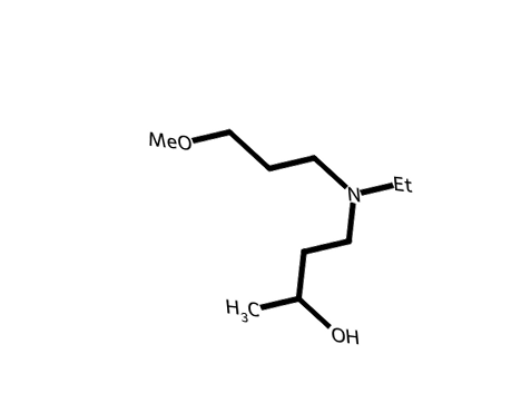 CCN(CCCOC)CCC(C)O